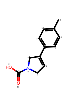 Cc1ccc(C2=CCN(C(=O)O)C2)cc1